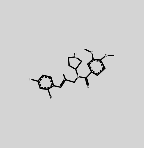 COc1ccc(C(=O)N(C/C(C)=C/c2ccc(F)cc2F)C2CCNC2)cc1OC